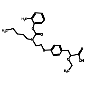 CCCCCN(CCOc1ccc(CC(OCC)C(=O)O)cc1)C(=O)Oc1ccccc1C